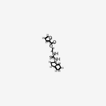 O=C(OCCNC(=S)NC1CCc2ccccc21)c1ccco1